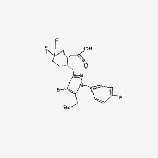 O=C(O)C1CC(F)(F)CCC1c1nn(-c2ccc(F)cc2)c(CBr)c1Br